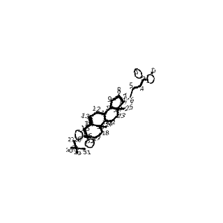 COC(=O)CCC[C@H]1CCC2C3CC=C4CC5(CCC4(C)C3CCC21C)OCC(C)(C)CO5